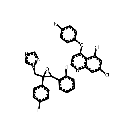 Fc1ccc(C2(Cn3cncn3)OC2c2ccccc2Cl)cc1.Fc1ccc(Oc2ccnc3cc(Cl)cc(Cl)c23)cc1